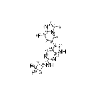 Cc1cnc2c(F)cc(-c3c[nH]c4nc(NC5CC(F)(F)C5)ncc34)cn12